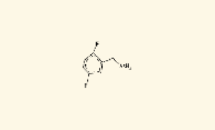 Fc1ccc(F)c(C[AsH2])c1